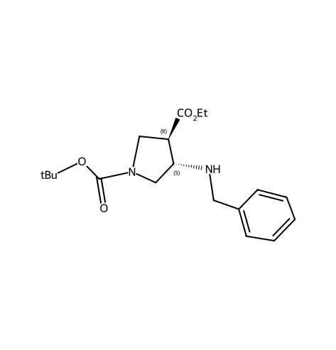 CCOC(=O)[C@@H]1CN(C(=O)OC(C)(C)C)C[C@H]1NCc1ccccc1